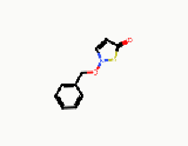 O=c1ccn(OCc2ccccc2)s1